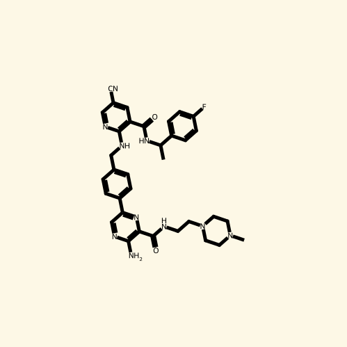 CC(NC(=O)c1cc(C#N)cnc1NCc1ccc(-c2cnc(N)c(C(=O)NCCN3CCN(C)CC3)n2)cc1)c1ccc(F)cc1